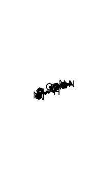 N#Cc1ccc(N2CCN3C(=O)[C@@H](CCCc4cccc5nccnc45)C[C@H]3C2)nc1